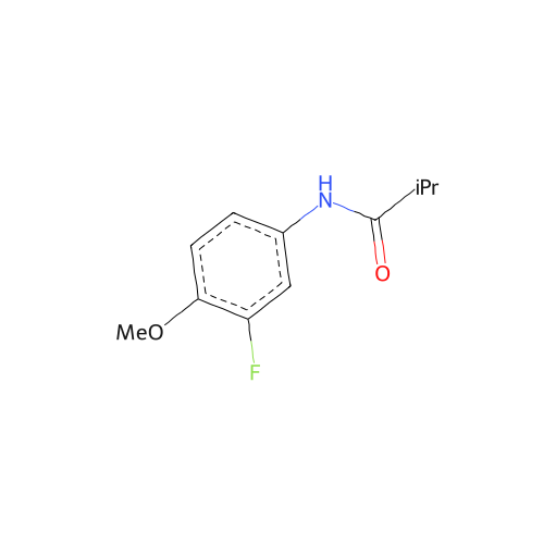 COc1ccc(NC(=O)C(C)C)cc1F